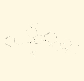 CC[Si](CC)(CC)O[C@H]1C[C@]2(C)C(=CC[C@H]3[C@]4(C)CC[C@H](O)C(C)(C)[C@H]4CC[C@@]32C)[C@@H]2CC(C)(C)CC[C@@]12C(=O)OCc1ccccc1